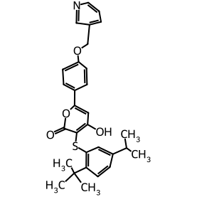 CC(C)c1ccc(C(C)(C)C)c(Sc2c(O)cc(-c3ccc(OCc4cccnc4)cc3)oc2=O)c1